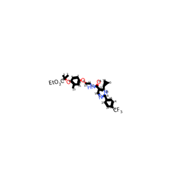 CCOC(=O)C(C)(C)Oc1ccc(OCCNC(=O)c2cnc(-c3ccc(C(F)(F)F)cc3)nc2C2CC2)cc1C